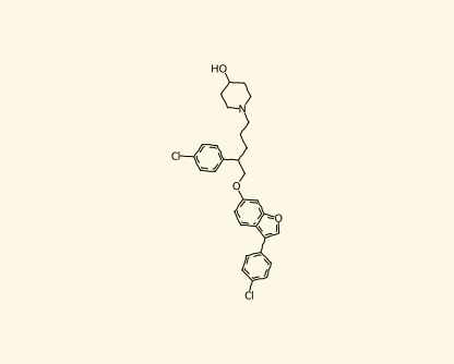 OC1CCN(CCCC(COc2ccc3c(-c4ccc(Cl)cc4)coc3c2)c2ccc(Cl)cc2)CC1